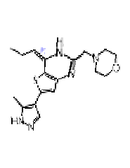 CC/C=C1/NC(CN2CCOCC2)=Nc2cc(-c3cn[nH]c3C)sc21